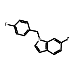 Fc1ccc(Cn2ccc3ccc(F)cc32)cc1